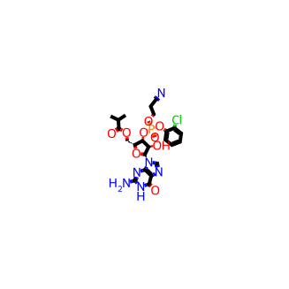 CC(C)C(=O)OC[C@H]1O[C@@H](n2cnc3c(=O)[nH]c(N)nc32)[C@H](O)[C@@H]1OP(=O)(OCCC#N)Oc1ccccc1Cl